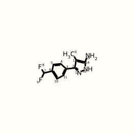 Cc1c(-c2ccc(C(F)F)cc2)n[nH]c1N